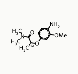 COc1cc(O[C@@H](C)C(=O)N(C)C)ccc1N